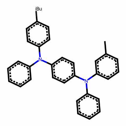 CCC(C)c1ccc(N(c2ccccc2)c2ccc(N(c3ccccc3)c3cccc(C)c3)cc2)cc1